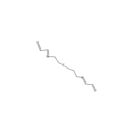 O=CC=NCCCCCCN=CC=O